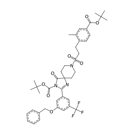 Cc1cc(C(=O)OC(C)(C)C)ccc1CCS(=O)(=O)N1CCC2(CC1)N=C(c1cc(OCc3ccccc3)cc(C(F)(F)F)c1)N(C(=O)OC(C)(C)C)C2=O